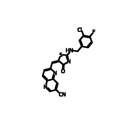 N#Cc1cnc2ccc(C=C3SC(NCc4ccc(F)c(Cl)c4)=NC3=O)nc2c1